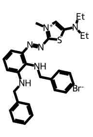 CCN(CC)c1c[n+](C)c(N=Nc2cccc(NCc3ccccc3)c2NCc2ccccc2)s1.[Br-]